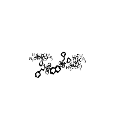 CN[C@@H](C)C(=O)N[C@H](C(=O)N1CCC[C@H]1CN(CCc1ccccc1)S(=O)(=O)c1ccc2ccc(S(=O)(=O)N(CCc3ccccc3)C[C@@H]3CCCN3C(=O)[C@@H](NC(=O)[C@H](C)NC)C(C)(C)C)cc2c1)C(C)(C)C